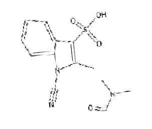 CN(C)C=O.Cc1c(S(=O)(=O)O)c2ccccc2n1C#N